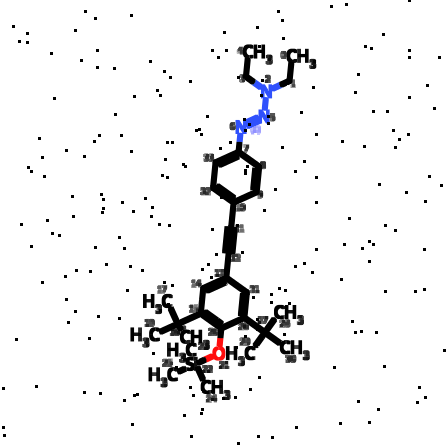 CCN(CC)/N=N/c1ccc(C#Cc2cc(C(C)(C)C)c(O[Si](C)(C)C)c(C(C)(C)C)c2)cc1